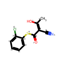 CC(O)=C(C#N)C(=O)Sc1ccccc1Cl